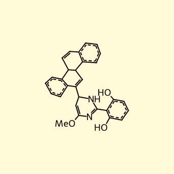 COC1=CC(C2=CC3c4ccccc4C=CC3c3ccccc32)NC(c2c(O)cccc2O)=N1